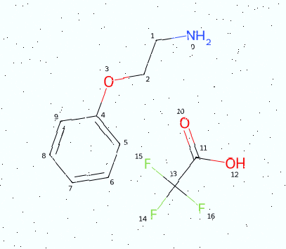 NCCOc1ccccc1.O=C(O)C(F)(F)F